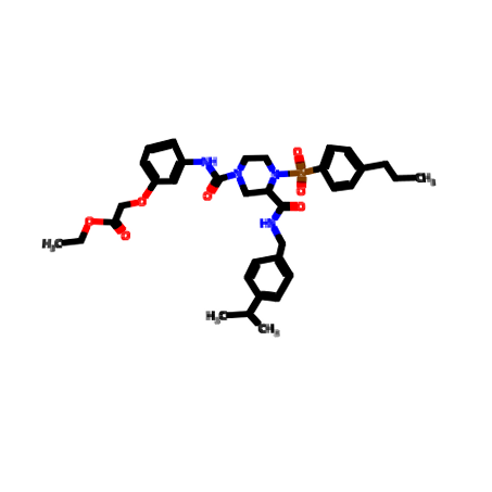 CCCc1ccc(S(=O)(=O)N2CCN(C(=O)Nc3cccc(OCC(=O)OCC)c3)CC2C(=O)NCc2ccc(C(C)C)cc2)cc1